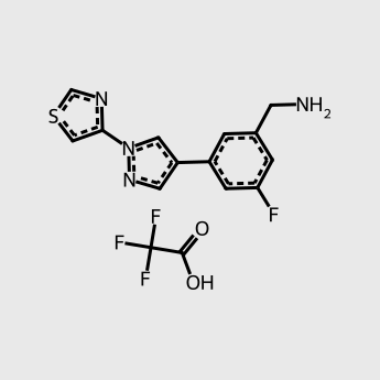 NCc1cc(F)cc(-c2cnn(-c3cscn3)c2)c1.O=C(O)C(F)(F)F